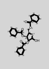 O=C(OC[C@H]1SC(O)[C@@H](OC(=O)c2ccccc2)[C@H]1OC(=O)c1ccccc1)c1ccccc1